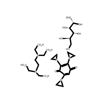 O=C(O)CN(CCN(CC(=O)O)CC(=O)O)CC(=O)O.O=C1C=C(N2CC2)C(=O)C(N2CC2)=C1N1CC1.O=C[C@H](O)[C@@H](O)[C@H](O)[C@H](O)CO